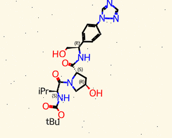 CC(C)[C@H](NC(=O)OC(C)(C)C)C(=O)N1C[C@H](O)C[C@H]1C(=O)N[C@@H](CO)c1ccc(-n2cncn2)cc1